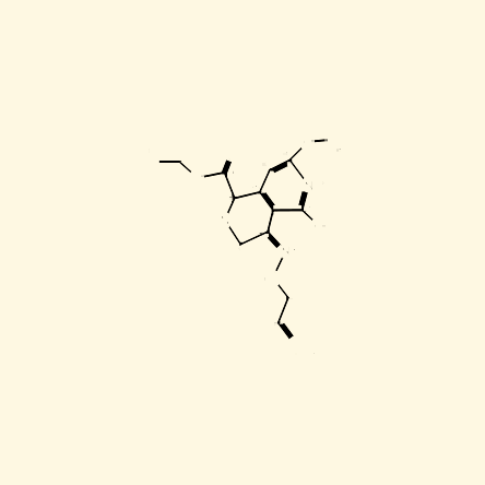 C=CCON=C1CNC(C(=O)OCC)c2cc(OC)nc(O)c21